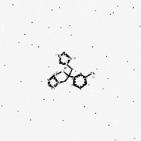 CCOC(Cn1cncn1)(Cn1cncn1)c1cccc(C#N)c1